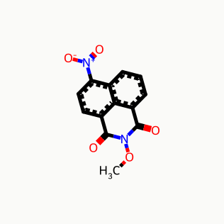 CON1C(=O)c2cccc3c([N+](=O)[O-])ccc(c23)C1=O